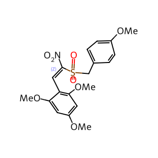 COc1ccc(CS(=O)(=O)/C(=C\c2c(OC)cc(OC)cc2OC)[N+](=O)[O-])cc1